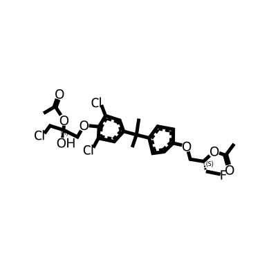 CC(=O)O[C@H](CF)COc1ccc(C(C)(C)c2cc(Cl)c(OC[C@](O)(CCl)OC(C)=O)c(Cl)c2)cc1